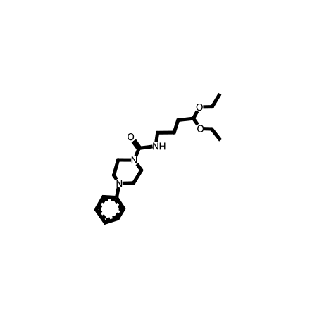 CCOC(CCCNC(=O)N1CCN(c2ccccc2)CC1)OCC